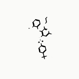 COc1ccccc1Oc1c(NS(=O)(=O)c2ccc(C(C)(C)C)cc2)cc(C)nc1OCCO